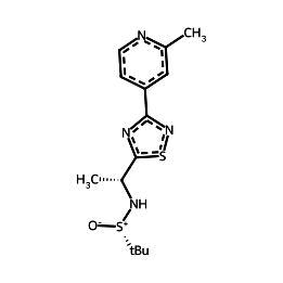 Cc1cc(-c2nsc([C@@H](C)N[S@@+]([O-])C(C)(C)C)n2)ccn1